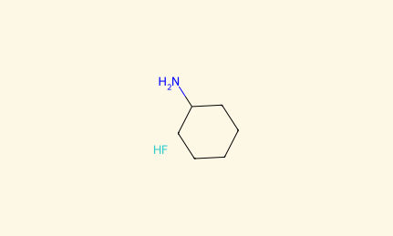 F.NC1CCCCC1